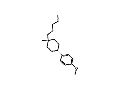 CCCCC[C@]1(C)CC[C@H](c2ccc(OC)cc2)CC1